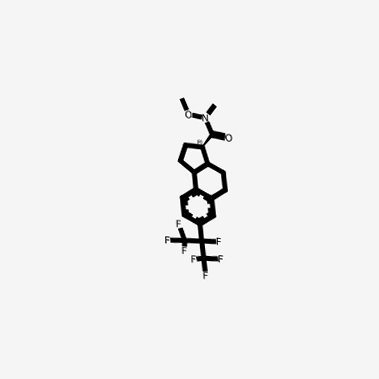 CON(C)C(=O)[C@@H]1CCC2c3ccc(C(F)(C(F)(F)F)C(F)(F)F)cc3CCC21